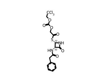 O=C(Cc1ccccc1)N[C@H]1C(=O)N[C@H]1SC(=O)COC(=O)OCC(Cl)(Cl)Cl